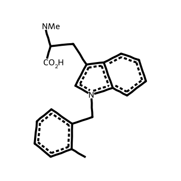 CNC(Cc1cn(Cc2ccccc2C)c2ccccc12)C(=O)O